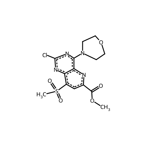 COC(=O)c1cc(S(C)(=O)=O)c2nc(Cl)nc(N3CCOCC3)c2n1